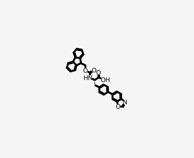 O=C(N[C@@H](Cc1ccc(-c2ccc3ncoc3c2)cc1)C(=O)O)OCC1c2ccccc2-c2ccccc21